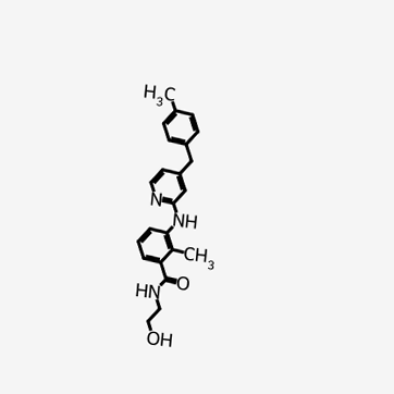 Cc1ccc(Cc2ccnc(Nc3cccc(C(=O)NCCO)c3C)c2)cc1